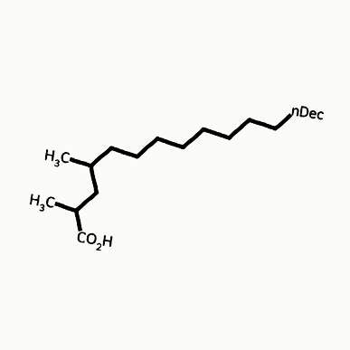 CCCCCCCCCCCCCCCCCCC(C)CC(C)C(=O)O